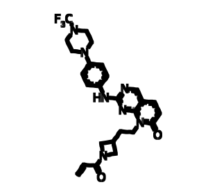 C=CC(=O)N1CC(CCn2c(=O)ccc3cnc(Nc4ccc(N5CCN(C(F)(F)F)CC5)cc4)nc32)C1